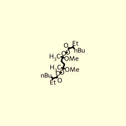 CCCCC(CC)C(=O)OOC(C)(CCC(C)(OC)OOC(=O)C(CC)CCCC)OC